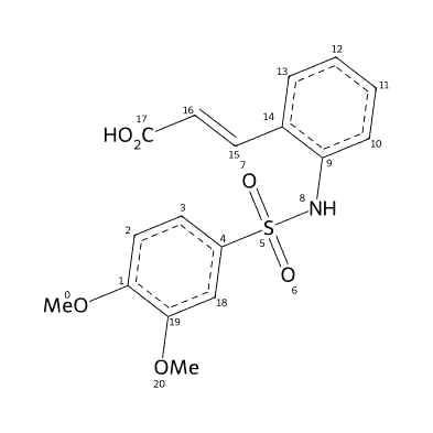 COc1ccc(S(=O)(=O)Nc2ccccc2C=CC(=O)O)cc1OC